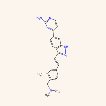 Cc1cc(/C=C/c2n[nH]c3cc(-c4ccnc(N)n4)ccc23)ccc1CN(C)C